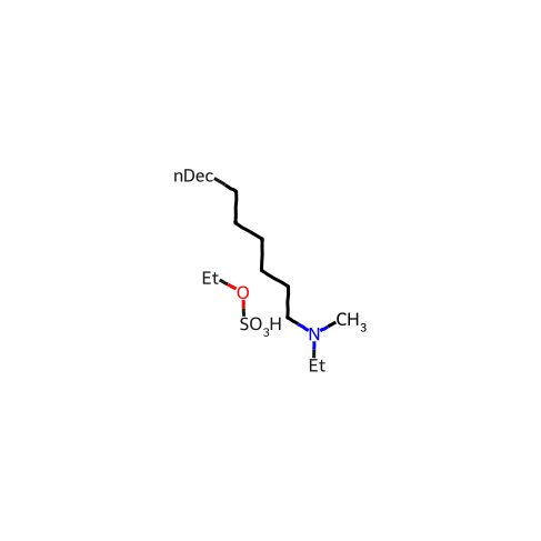 CCCCCCCCCCCCCCCCN(C)CC.CCOS(=O)(=O)O